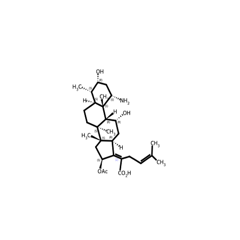 CC(=O)O[C@H]1C[C@@]2(C)[C@@H](C[C@@H](O)[C@H]3[C@@]4(C)[C@@H](N)C[C@@H](O)[C@@H](C)[C@@H]4CC[C@@]32C)/C1=C(\CC=C(C)C)C(=O)O